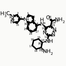 Cn1cc(-n2ccc3c(Nc4nc(N[C@@H]5CCCC[C@@H]5N)nnc4C(N)=O)cccc32)cn1